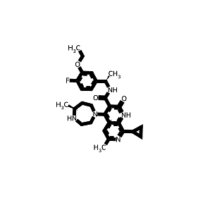 CCOc1cc([C@H](C)NC(=O)c2c(N3CCN[C@@H](C)CC3)c3cc(C)nc(C4CC4)c3[nH]c2=O)ccc1F